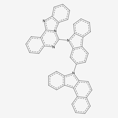 c1ccc2c(c1)ccc1c2c2ccccc2n1-c1ccc2c3ccccc3n(-c3nc4ccccc4c4nc5ccccc5n34)c2c1